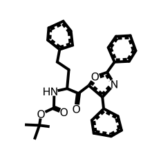 CC(C)(C)OC(=O)NC(CCc1ccccc1)C(=O)c1oc(-c2ccccc2)nc1-c1ccccc1